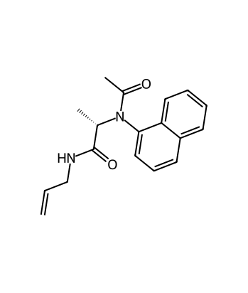 C=CCNC(=O)[C@H](C)N(C(C)=O)c1cccc2ccccc12